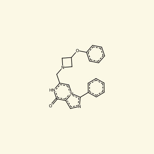 O=c1[nH]c(CN2CC(Oc3ccccc3)C2)cn2c(-c3ccccc3)ncc12